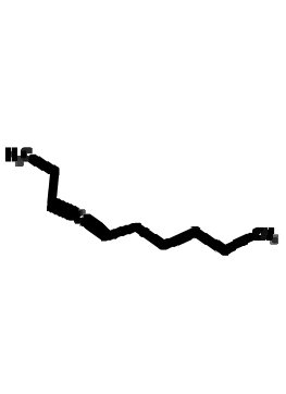 CCC=C=CCCCCC